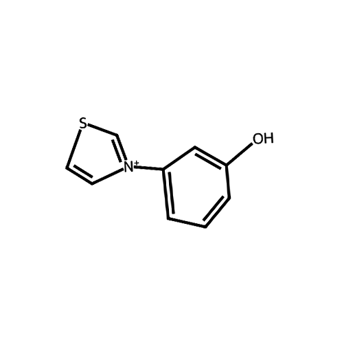 Oc1cccc(-[n+]2ccsc2)c1